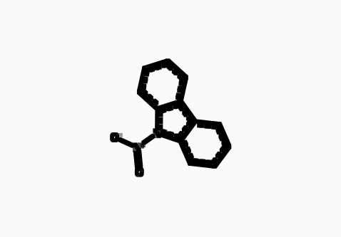 O=[N+]([O-])n1c2ccccc2c2ccccc21